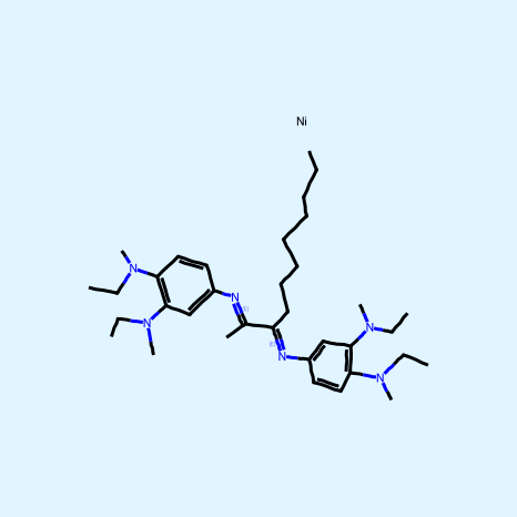 CCCCCCCCC(=N\c1ccc(N(C)CC)c(N(C)CC)c1)/C(C)=N/c1ccc(N(C)CC)c(N(C)CC)c1.[Ni]